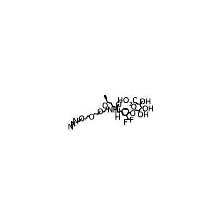 C#CCCC(NC(=O)COCCOCCOCN=[N+]=[N-])C(=O)Nc1ccc(OC2OC(C(=O)O)C(O)C(O)C2O)c(C(F)F)c1